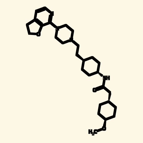 CO[C@H]1CC[C@H](CC(=O)N[C@H]2CC[C@H](CCN3CCN(c4nccc5c4OCC5)CC3)CC2)CC1